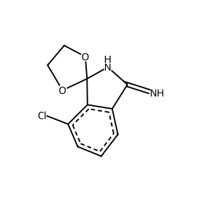 N=C1NC2(OCCO2)c2c(Cl)cccc21